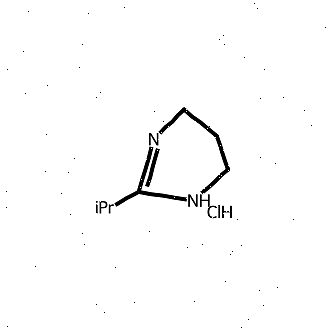 CC(C)C1=NCCCN1.Cl